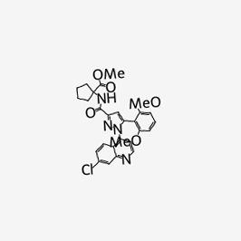 COC(=O)C1(NC(=O)c2cc(-c3c(OC)cccc3OC)n(-c3ccnc4cc(Cl)ccc34)n2)CCCC1